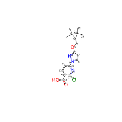 CC1(C)C(COc2ccn(-c3ccc(C(=O)O)c(Cl)n3)n2)C1(C)C